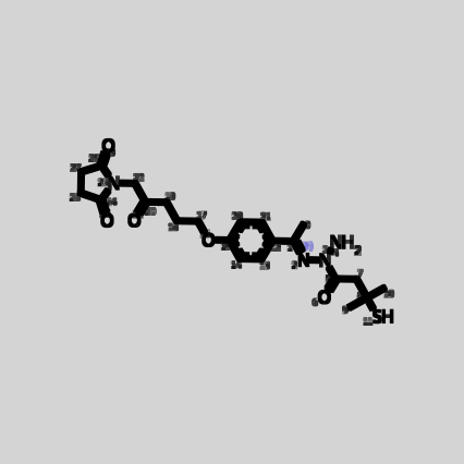 C/C(=N\N(N)C(=O)CC(C)(C)S)c1ccc(OCCCC(=O)CN2C(=O)CCC2=O)cc1